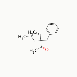 C=CC(CCC)(Cc1ccccc1)C(C)=O